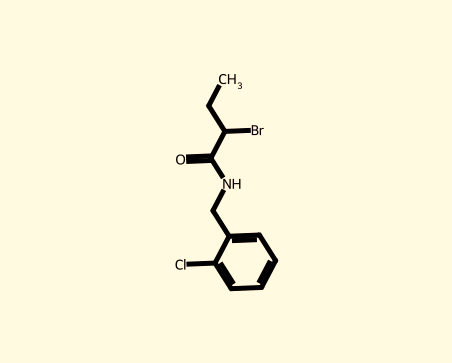 CCC(Br)C(=O)NCc1ccccc1Cl